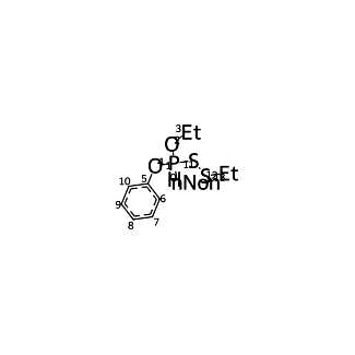 CCCCCCCCC[PH](OCC)(Oc1ccccc1)SSCC